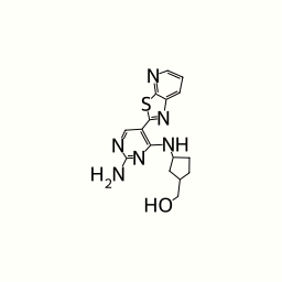 Nc1ncc(-c2nc3cccnc3s2)c(NC2CCC(CO)C2)n1